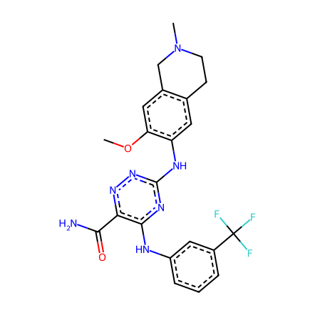 COc1cc2c(cc1Nc1nnc(C(N)=O)c(Nc3cccc(C(F)(F)F)c3)n1)CCN(C)C2